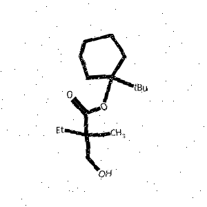 CCC(C)(CO)C(=O)OC1(C(C)(C)C)CCCCC1